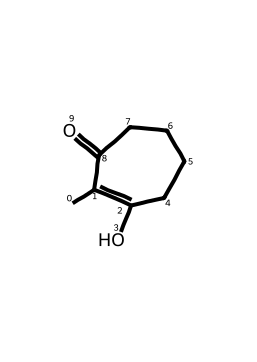 CC1=C(O)CCCCC1=O